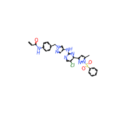 C=CC(=O)Nc1ccc(Cn2cc(Nc3ncc(Cl)c(-c4cc(C)n(S(=O)(=O)c5ccccc5)n4)n3)cn2)cc1